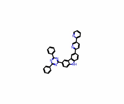 c1ccc(-c2nc(-c3ccccc3)nc(-c3ccc4[nH]c5ccc(-c6ccc(-c7ccccn7)cn6)cc5c4c3)n2)cc1